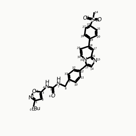 CC(C)(C)c1cc(NC(=O)NCc2ccc(-c3cnc4cc(-c5ccc(S(C)(=O)=O)cc5)ccn34)cc2)on1